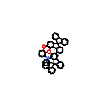 c1ccc(N(c2cccc3c2Oc2c(ccc4c2-c2ccccc2C42c4ccccc4-c4ccccc42)O3)c2cccc3c2C(c2ccccc2)(c2ccccc2)c2ccccc2-3)cc1